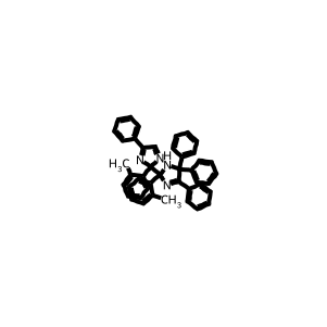 Cc1ccccc1C1(C2(c3ccccc3C)N=C(c3ccccc3)C(c3ccccc3)(c3ccccc3)N2)N=CC(c2ccccc2)=N1